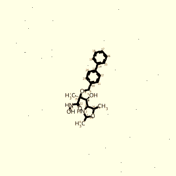 CC1NC([C@H](O)[C@](C)(OCc2ccc(-c3ccccc3)cc2)C(=O)NO)C(C)O1